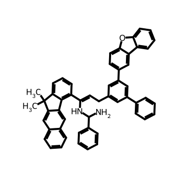 CC1(C)c2cc3ccccc3cc2-c2c(/C(=C/Cc3cc(-c4ccccc4)cc(-c4ccc5oc6ccccc6c5c4)c3)NC(N)c3ccccc3)cccc21